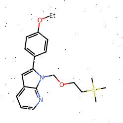 CCOc1ccc(-c2cc3cccnc3n2COCCS(C)(C)C)cc1